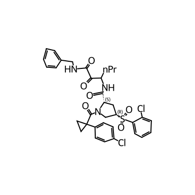 CCCC(NC(=O)[C@@H]1C[C@@H](S(=O)(=O)c2ccccc2Cl)CN1C(=O)C1(c2ccc(Cl)cc2)CC1)C(=O)C(=O)NCc1ccccc1